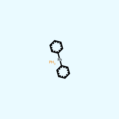 P.c1cc[c]([Rh][c]2ccccc2)cc1